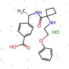 C[C@H](NC(=O)C1(NCCOc2ccccc2)CCC1)c1ccc(C(=O)O)cc1.Cl